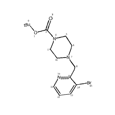 CC(C)(C)OC(=O)N1CCN(Cc2ncccc2Br)CC1